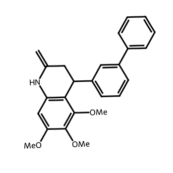 C=C1CC(c2cccc(-c3ccccc3)c2)c2c(cc(OC)c(OC)c2OC)N1